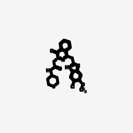 O=C(Cn1nc(Cc2nc3cc(OC(F)(F)F)c(Cl)cc3[nH]2)c2ccccc2c1=O)NC1CCSCC1